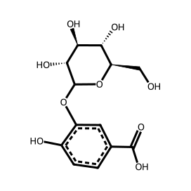 O=C(O)c1ccc(O)c(OC2O[C@H](CO)[C@@H](O)[C@H](O)[C@H]2O)c1